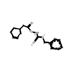 O=C(CC1CCCCC1)ONC(=O)OCc1ccccc1